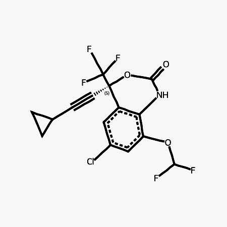 O=C1Nc2c(OC(F)F)cc(Cl)cc2[C@@](C#CC2CC2)(C(F)(F)F)O1